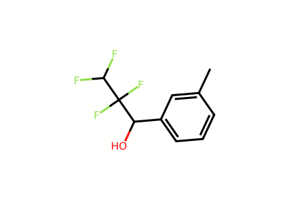 Cc1cccc(C(O)C(F)(F)C(F)F)c1